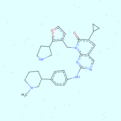 CN1CCCC(c2ccc(Nc3ncc4cc(C5CC5)c(=O)n(Cc5ccoc5C5CCNC5)c4n3)cc2)C1